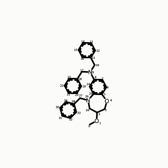 COC1COc2ccc(N(Cc3ccccc3)Cc3ccccc3)cc2N(Cc2ccccc2)C1